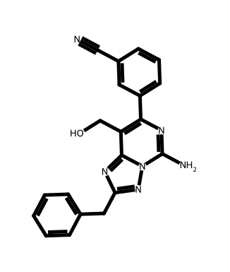 N#Cc1cccc(-c2nc(N)n3nc(Cc4ccccc4)nc3c2CO)c1